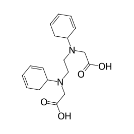 O=C(O)CN(CCN(CC(=O)O)C1C=CC=CC1)C1C=CC=CC1